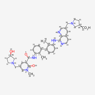 Cc1c(NC(=O)c2cc(CN3CC[C@@H](O)C3)cn(C)c2=O)cccc1-c1cccc(Nc2nccc3cc(CN4CC[C@@H](C(=O)O)C4)cnc23)c1C